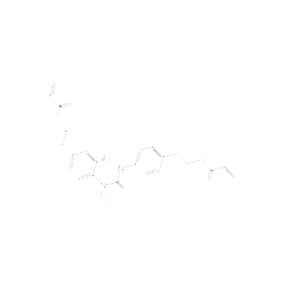 C=CC(=O)OCCc1ccc(N(CCC)C(=O)N(CCC)c2ccc(CCOC(=O)C=C)cc2)cc1